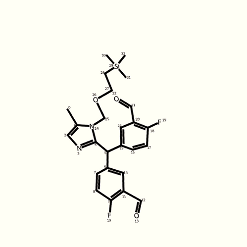 Cc1cnc(C(c2ccc(F)c(C=O)c2)c2ccc(F)c(C=O)c2)n1COCC[Si](C)(C)C